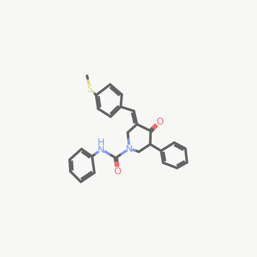 CSc1ccc(C=C2CN(C(=O)Nc3ccccc3)CC(c3ccccc3)C2=O)cc1